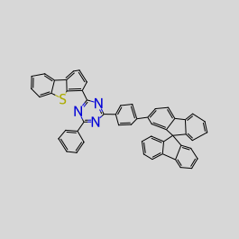 c1ccc(-c2nc(-c3ccc(-c4ccc5c(c4)C4(c6ccccc6-c6ccccc64)c4ccccc4-5)cc3)nc(-c3cccc4c3sc3ccccc34)n2)cc1